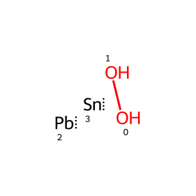 OO.[Pb].[Sn]